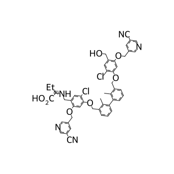 CC[C@@H](NCc1cc(Cl)c(OCc2cccc(-c3cccc(COc4cc(OCc5cncc(C#N)c5)c(CO)cc4Cl)c3C)c2C)cc1OCc1cncc(C#N)c1)C(=O)O